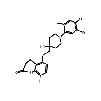 CCc1cc(N2CCC(O)(COc3ccc(F)c4c3CCC(=O)N4)CC2)c(F)cc1Cl